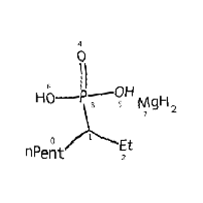 CCCCCC(CC)P(=O)(O)O.[MgH2]